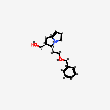 OC[C@@H]1CC2=CCCN2[C@@H]1CCOCc1ccccc1